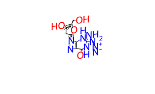 [N-]=[N+]=NC1(N)NC(=O)c2ncn([C@H]3C[C@H](O)[C@@H](CO)O3)c2N1